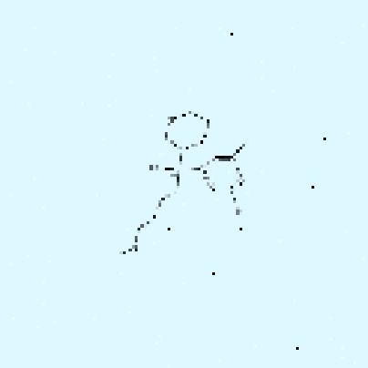 COCCCC[C@@](O)(c1cc(F)cc(F)c1)C1CCCNC1